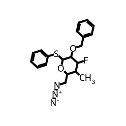 CC1C(CN=[N+]=[N-])OC(Sc2ccccc2)C(OCc2ccccc2)C1F